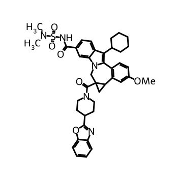 COc1ccc2c(c1)C1CC1(C(=O)N1CCC(c3nc4ccccc4o3)CC1)Cn1c-2c(C2CCCCC2)c2ccc(C(=O)NS(=O)(=O)N(C)C)cc21